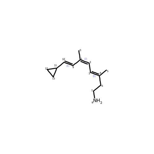 CC(=C/C=C(\C)CCN)/C=C/C1CC1